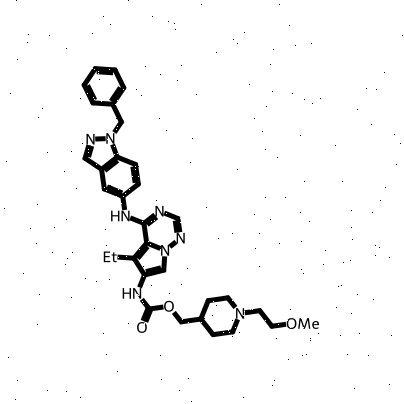 CCc1c(NC(=O)OCC2CCN(CCOC)CC2)cn2ncnc(Nc3ccc4c(cnn4Cc4ccccc4)c3)c12